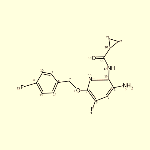 Nc1cc(F)c(OCc2ccc(F)cc2)nc1NC(=O)C1CC1